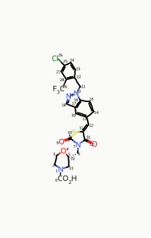 O=C(O)N1CCO[C@H](CN2C(=O)SC(=Cc3ccc4c(cnn4Cc4ccc(Cl)cc4C(F)(F)F)c3)C2=O)C1